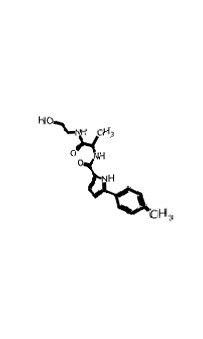 Cc1ccc(-c2ccc(C(=O)NC(C)C(=O)NCCO)[nH]2)cc1